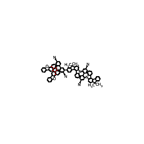 CC1(C)c2ccccc2-c2c1ccc1c2c2ccccc2n1-c1cc(C#N)ccc1-c1ccc(C#N)cc1-n1c2ccccc2c2c3c(ccc21)C(C)(C)c1cc(-c2cc(-c4ccc(C#N)cc4-n4c5ccccc5c5cc6c(cc54)oc4ccccc46)c(-n4c5ccccc5c5cc6c(cc54)oc4ccccc46)cc2C#N)ccc1-3